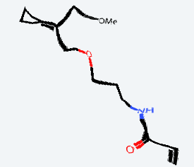 C=CC(=O)NCCCOCC(COC)=C1CC1